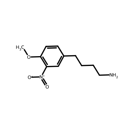 COc1ccc(CCCCN)cc1[N+](=O)[O-]